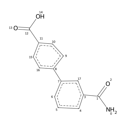 NC(=O)c1cccc(-c2ccc(C(=O)O)cc2)c1